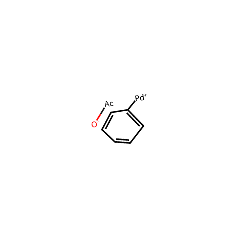 CC(=O)[O-].[Pd+][c]1ccccc1